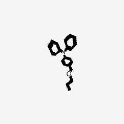 CCCOCc1ccc(N(c2ccccc2)c2ccccc2)cc1